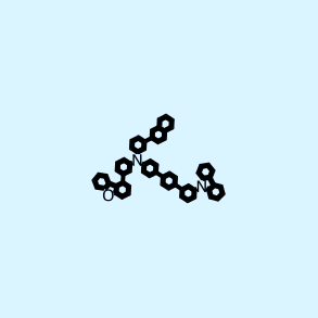 c1cc(-c2ccc3ccccc3c2)cc(N(c2ccc(-c3ccc(-c4cccc(-n5c6ccccc6c6ccccc65)c4)cc3)cc2)c2cccc(-c3cccc4oc5ccccc5c34)c2)c1